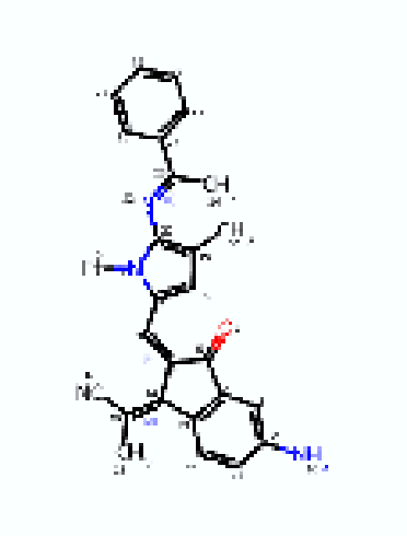 CCn1c(/C=C2\C(=O)c3cc(N)ccc3\C2=C(/C)C#N)cc(C)c1/N=C(\C)c1ccccc1